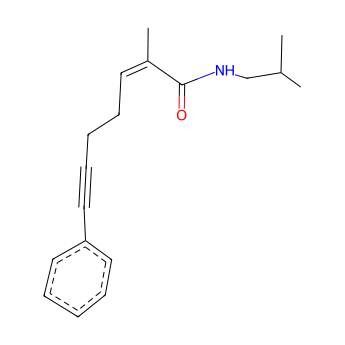 CC(=CCCC#Cc1ccccc1)C(=O)NCC(C)C